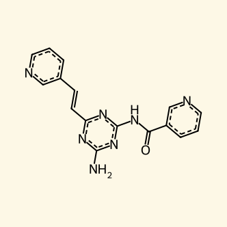 Nc1nc(/C=C/c2cccnc2)nc(NC(=O)c2cccnc2)n1